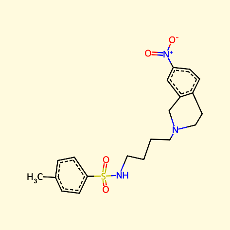 Cc1ccc(S(=O)(=O)NCCCCN2CCc3ccc([N+](=O)[O-])cc3C2)cc1